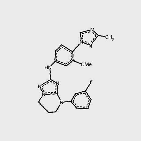 COc1cc(Nc2nc3n(n2)CCCN3c2cccc(F)c2)ccc1-n1cnc(C)n1